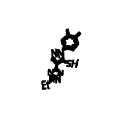 CCn1nnc(-c2cnn(-c3ccc(C)c(C)c3)c2S)n1